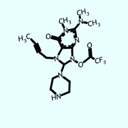 CC#CCN1c2c(nc(N(C)C)n(C)c2=O)N(OC(=O)C(F)(F)F)C1N1CCNCC1